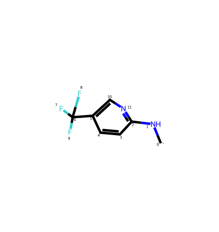 [CH2]Nc1ccc(C(F)(F)F)cn1